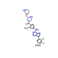 COc1ccc(-c2cnc3c(Nc4ccc(C(=O)N5CCNC(O[C@@H]6CCCNC6)C5)c(C)c4)nccn23)c(Cl)c1F